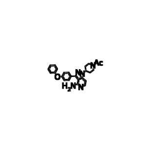 CC(=O)N1CCC(n2nc(-c3ccc(Oc4ccccc4)cc3)c3c(N)nccc32)CC1